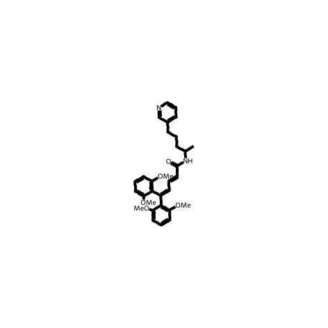 COc1cccc(OC)c1C(=C/C=C/C(=O)NC(C)CCCc1cccnc1)c1c(OC)cccc1OC